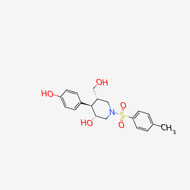 Cc1ccc(S(=O)(=O)N2C[C@@H](CO)[C@H](c3ccc(O)cc3)[C@@H](O)C2)cc1